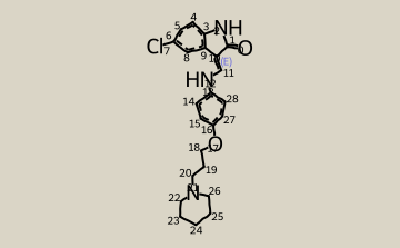 O=C1Nc2ccc(Cl)cc2/C1=C\Nc1ccc(OCCCN2CCCCC2)cc1